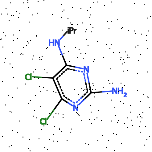 CC(C)Nc1nc(N)nc(Cl)c1Cl